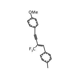 COc1ccc(C#CC(=Cc2ccc(C)cc2)C(F)(F)F)cc1